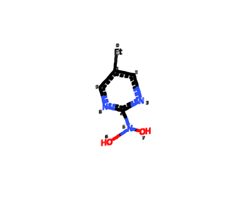 CCc1cnc(N(O)O)nc1